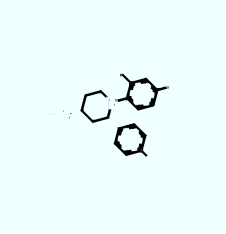 N[C@@H]1CCN(c2ccc(Cl)cc2Cl)[C@H](c2ccc(Cl)cc2)C1